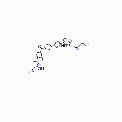 C=C(/C=C(/O)CNCC)c1ccc(C(=O)N2CCN(c3ccc(C(=O)N[S+]([O-])CC/C=C\C=C/CC)cc3)CC2)cc1F